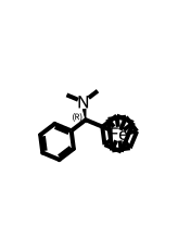 CN(C)[C@H](c1ccccc1)[C]12[CH]3[CH]4[CH]5[CH]1[Fe]45321678[CH]2[CH]1[CH]6[CH]7[CH]28